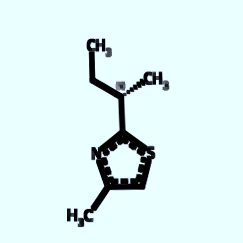 CC[C@H](C)c1nc(C)cs1